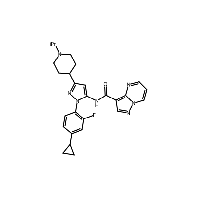 CC(C)N1CCC(c2cc(NC(=O)c3cnn4cccnc34)n(-c3ccc(C4CC4)cc3F)n2)CC1